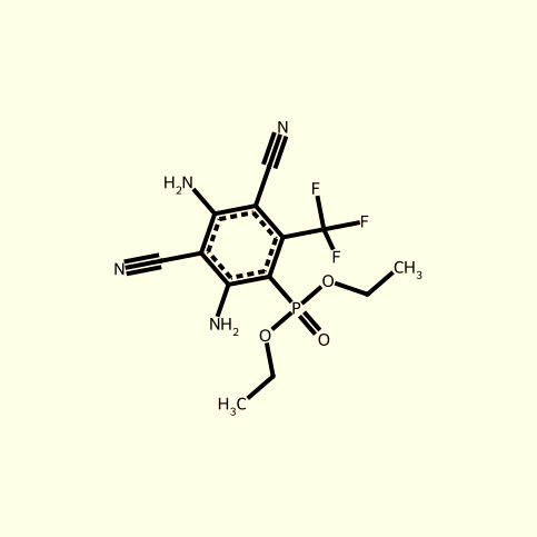 CCOP(=O)(OCC)c1c(N)c(C#N)c(N)c(C#N)c1C(F)(F)F